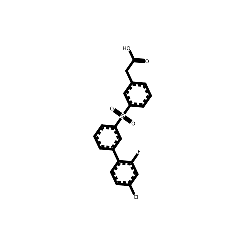 O=C(O)Cc1cccc(S(=O)(=O)c2cccc(-c3ccc(Cl)cc3F)c2)c1